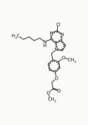 CCCCCNc1nc(Cl)nc2ccn(Cc3ccc(OCC(=O)OC)cc3OC)c12